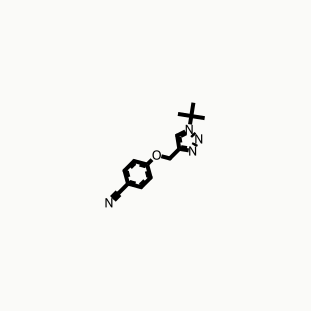 CC(C)(C)n1cc(COc2ccc(C#N)cc2)nn1